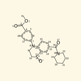 COC(=O)c1ccc(N2CC[S+]([O-])c3cc(C(=O)N4CCCCC4)ccc32)cc1